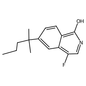 CCCC(C)(C)c1ccc2c(O)ncc(F)c2c1